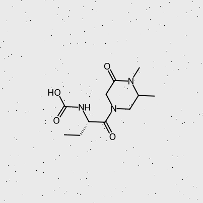 CC[C@H](NC(=O)O)C(=O)N1CC(=O)N(C)C(C)C1